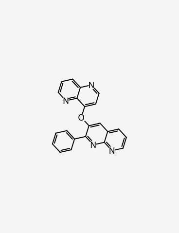 c1ccc(-c2nc3ncccc3cc2Oc2ccnc3cccnc23)cc1